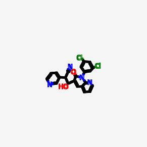 N#CC(c1cccnc1)C(O)c1cc2cccnc2n(-c2cc(Cl)cc(Cl)c2)c1=O